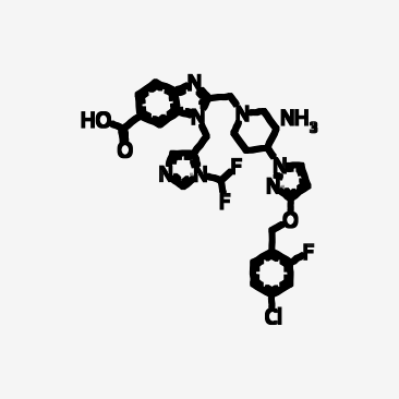 N.O=C(O)c1ccc2nc(CN3CCC(n4ccc(OCc5ccc(Cl)cc5F)n4)CC3)n(Cc3cncn3C(F)F)c2c1